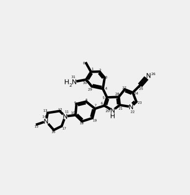 Cc1ccc(-c2c(-c3ccc(N4CCN(C)CC4)cc3)[nH]c3ncc(C#N)cc23)cc1N